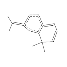 CC(C)=c1ccc2c(c1)C(C)(C)C=CC=2